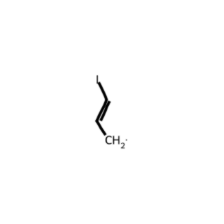 [CH2]/C=C/I